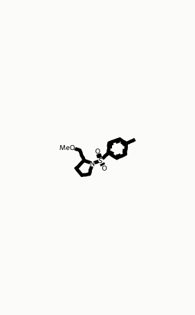 COCC1CCCN1S(=O)(=O)c1ccc(C)cc1